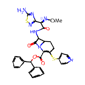 CO/N=C(\C(=O)NC1C(=O)N2C(C(=O)OC(c3ccccc3)c3ccccc3)=C(Sc3ccncc3)CCC12)c1nsc(N)n1